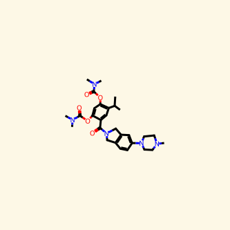 CC(C)c1cc(C(=O)N2Cc3ccc(N4CCN(C)CC4)cc3C2)c(OC(=O)N(C)C)cc1OC(=O)N(C)C